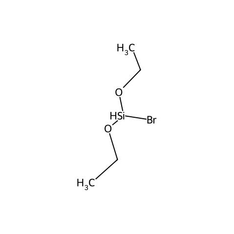 CCO[SiH](Br)OCC